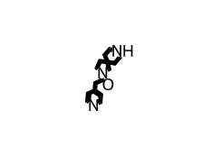 O=C(Cc1ccncc1)N1CCC2(CCNCC2)C1